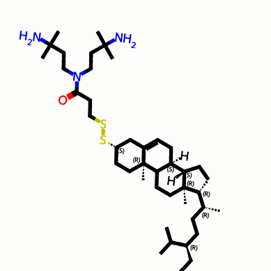 CC[C@H](CC[C@@H](C)[C@H]1CC[C@H]2[C@@H]3CC=C4C[C@@H](SSCCC(=O)N(CCC(C)(C)N)CCC(C)(C)N)CC[C@]4(C)C3CC[C@]12C)C(C)C